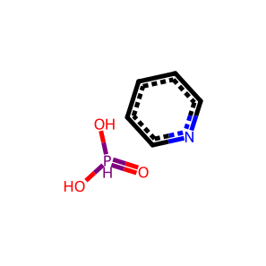 O=[PH](O)O.c1ccncc1